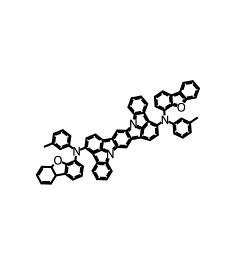 Cc1cccc(N(c2cccc3c2OC2C=CC=CC32)c2ccc3c4cc5c(cc4n4c6ccccc6c2c34)c2ccc(N(c3cccc(C)c3)c3cccc4c3oc3ccccc34)c3c4ccccc4n5c23)c1